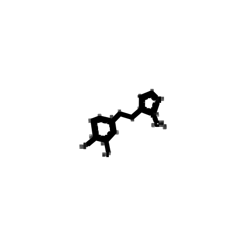 Cn1nccc1CCc1ccc(F)c(F)c1